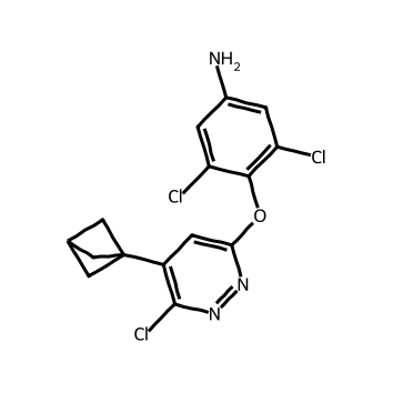 Nc1cc(Cl)c(Oc2cc(C34CC(C3)C4)c(Cl)nn2)c(Cl)c1